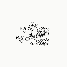 C=O.COc1cc(-c2cnc3c(c2)C(Cc2ccc(C(N)=O)cc2)C(=O)N3)cc(OC)c1OC.COc1cc(-c2cnc3c(c2)C(Cc2ccc(C(N)=O)cc2)C(=O)N3)cc(OC)c1OC